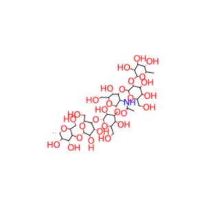 CC(=O)NC1[C@H](O[C@@H]2C(O)[C@@H](O[C@H]3C(CO)O[C@@H](O[C@@H]4C(CO)O[C@@H](C)C(O)[C@H]4O)C(O)[C@H]3O)OC(CO)[C@@H]2O)OC(CO)[C@H](O)[C@@H]1O[C@@H]1OC(CO)[C@H](O)[C@H](O)C1O[C@@H]1OC(C)[C@@H](O)C(O)[C@@H]1O